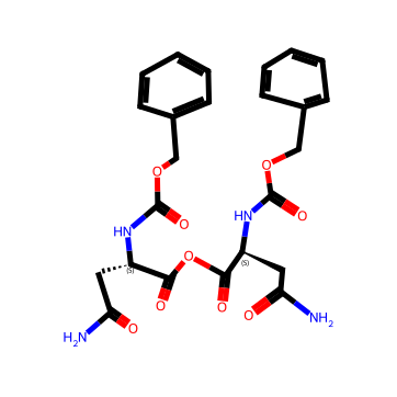 NC(=O)C[C@H](NC(=O)OCc1ccccc1)C(=O)OC(=O)[C@H](CC(N)=O)NC(=O)OCc1ccccc1